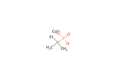 CCC(C)(C)P(=O)([O-])[O-].[Cu+2]